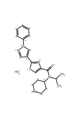 CC(C)N(C(=O)c1csc(-c2cnn(-c3ccccc3)c2)n1)C1CCNCC1.Cl